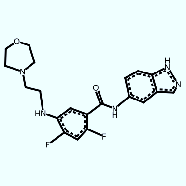 O=C(Nc1ccc2[nH]ncc2c1)c1cc(NCCN2CCOCC2)c(F)cc1F